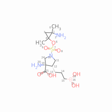 CC1(N)CC1(C)OS(=O)(=O)N1C[C@H](CCCB(O)O)[C@](N)(C(=O)O)C1